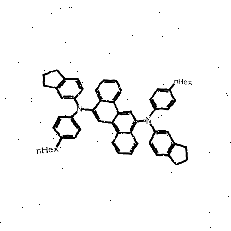 CCCCCCc1ccc(N(c2ccc3c(c2)CCC3)c2cc3c4ccccc4c(N(c4ccc(CCCCCC)cc4)c4ccc5c(c4)CCC5)cc3c3ccccc23)cc1